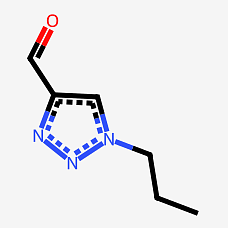 CCCn1cc(C=O)nn1